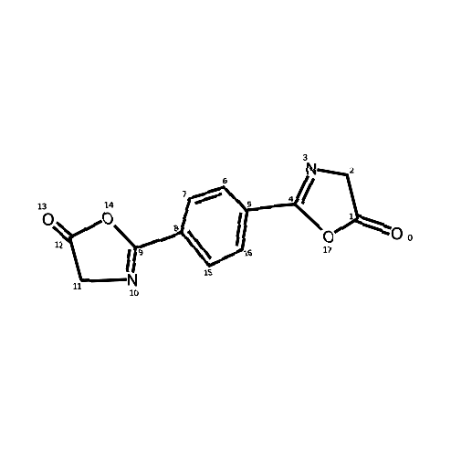 O=C1CN=C(c2ccc(C3=NCC(=O)O3)cc2)O1